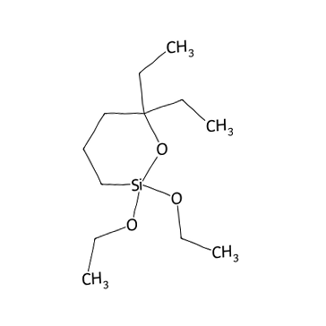 CCO[Si]1(OCC)CCCC(CC)(CC)O1